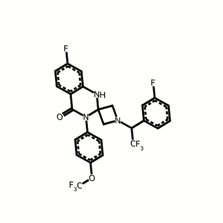 O=C1c2ccc(F)cc2NC2(CN(C(c3cccc(F)c3)C(F)(F)F)C2)N1c1ccc(OC(F)(F)F)cc1